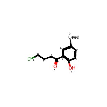 COc1ccc(O)c(C(=O)CCCCl)c1